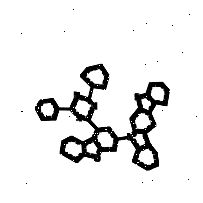 c1ccc(-c2nc(-c3ccccc3)nc(-c3cc(-n4c5ccccc5c5cc6c(cc54)sc4ccccc46)cc4oc5ccccc5c34)n2)cc1